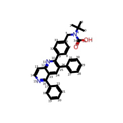 CC(C)(C)N(Cc1ccc(-c2nc3ccnc(-c4ccccc4)c3cc2-c2ccccc2)cc1)C(=O)O